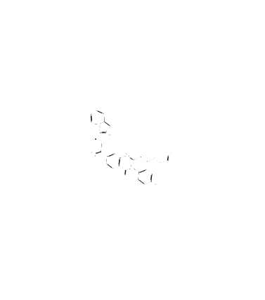 CC(O)(CC(=N)c1ccc2c(=O)n(-c3ccc(F)cc3)c(CCCCC(=O)O)nc2c1)c1ncc2ccccn12